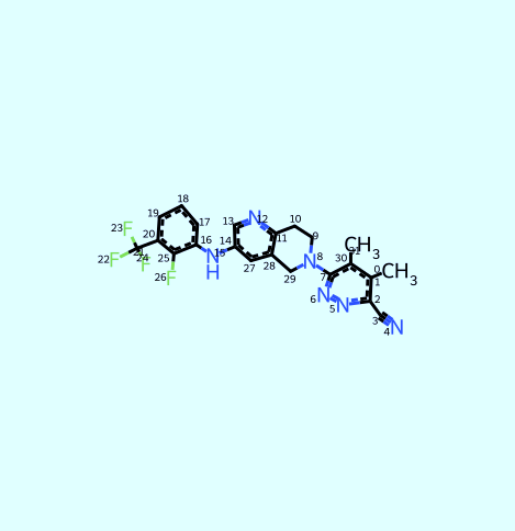 Cc1c(C#N)nnc(N2CCc3ncc(Nc4cccc(C(F)(F)F)c4F)cc3C2)c1C